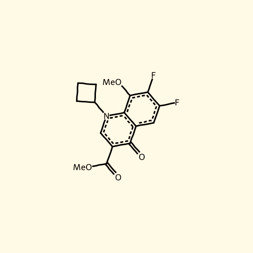 COC(=O)c1cn(C2CCC2)c2c(OC)c(F)c(F)cc2c1=O